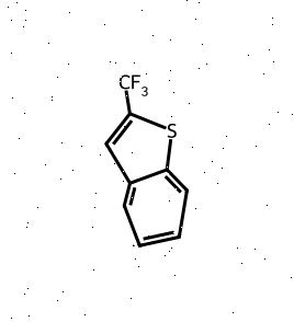 FC(F)(F)c1cc2c[c]ccc2s1